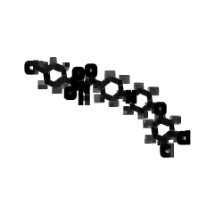 O=C(NS(=O)(=O)c1ccc(Cl)cc1)C1CCC(N2CCC(Oc3ccc(Cl)c(Cl)c3)CC2)CC1